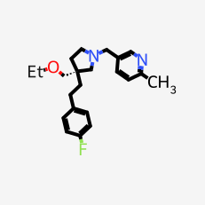 CCOC[C@]1(CCc2ccc(F)cc2)CCN(Cc2ccc(C)nc2)C1